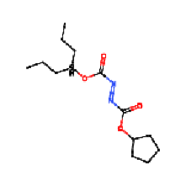 CCC[SiH](CCC)OC(=O)N=NC(=O)OC1CCCC1